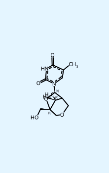 Cc1cn([C@@H]2O[C@@]3(CO)COCC2[C@H]3C)c(=O)[nH]c1=O